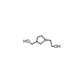 OCCN1CCC(CO)C1